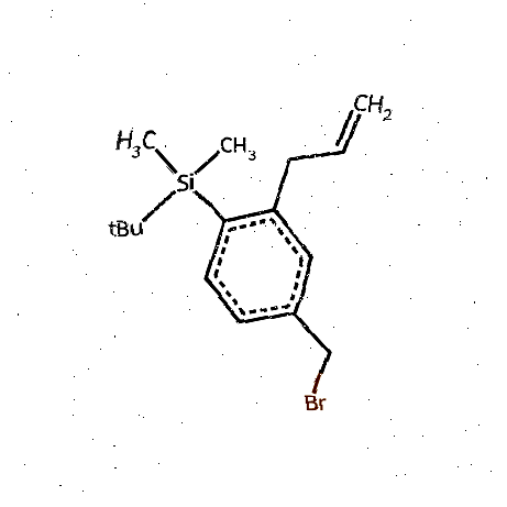 C=CCc1cc(CBr)ccc1[Si](C)(C)C(C)(C)C